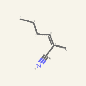 CCCC=C(C)C#N